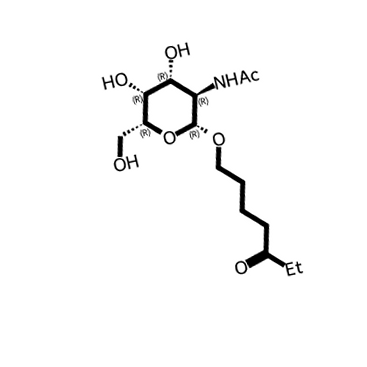 CCC(=O)CCCCO[C@@H]1O[C@H](CO)[C@H](O)[C@H](O)[C@H]1NC(C)=O